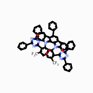 FC(F)(F)c1cccc(-n2c3ccccc3c3cc(-c4ccccc4)c4c5ccccc5n(-c5cccc(C(F)(F)F)c5-c5nc(-c6ccccc6)nc(-c6ccccc6)n5)c4c32)c1-c1nc(-c2ccccc2)nc(-c2ccccc2)n1